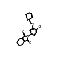 O=C1C2=C(CCCC2)C(=O)N1c1ccc(Cl)c(OCC2C=CCCS2)c1